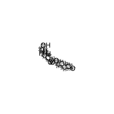 C[C@]12CC[C@H]3[C@@H](CCC4=CC(=O)C(CC(=O)O[C@H]5CCC6C7CCC8=CC(=O)CC[C@]8(C)C7CC[C@@]65C)C[C@@]43C)[C@@H]1CC[C@@H]2O